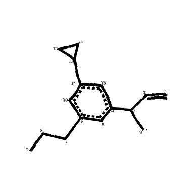 [CH2]C(C=C)c1cc(CCC)cc(C2CC2)c1